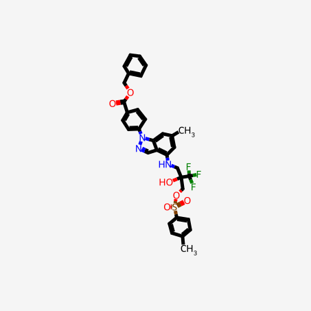 Cc1ccc(S(=O)(=O)OCC(O)(CNc2cc(C)cc3c2cnn3-c2ccc(C(=O)OCc3ccccc3)cc2)C(F)(F)F)cc1